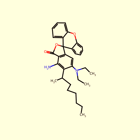 CCCCCCC(C)c1c(N(CC)CC)cc2c(c1N)C(=O)OC21c2ccccc2Oc2ccccc21